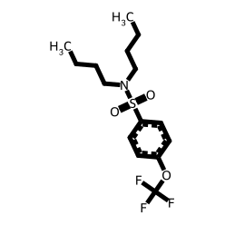 CCCCN(CCCC)S(=O)(=O)c1ccc(OC(F)(F)F)cc1